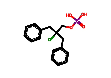 O=P(O)(O)OCC(Cl)(Cc1ccccc1)Cc1ccccc1